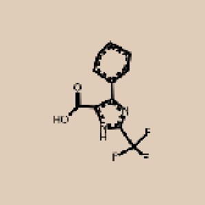 O=C(O)c1[nH]c(C(F)(F)F)nc1-c1ccccc1